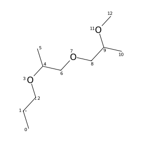 C[CH][CH]OC(C)COCC(C)OC